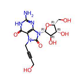 Nc1nc2c(c(=O)[nH]1)n(CC#CCO)c(=O)n2[C@@H]1O[C@H](CO)[C@H](O)[C@H]1O